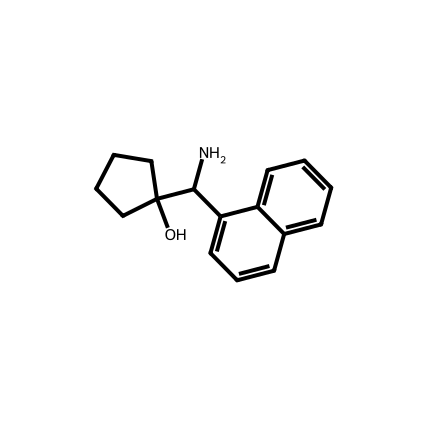 NC(c1cccc2ccccc12)C1(O)CCCC1